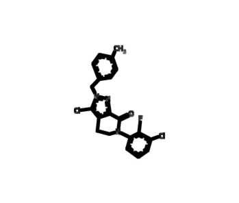 Cc1ccc(Cn2nc3c(c2Cl)CCN(c2cccc(Cl)c2F)C3=O)cc1